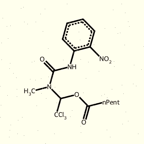 CCCCCC(=O)OC(N(C)C(=O)Nc1ccccc1[N+](=O)[O-])C(Cl)(Cl)Cl